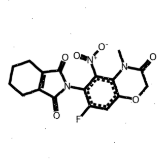 CN1C(=O)COc2cc(F)c(N3C(=O)C4=C(CCCC4)C3=O)c([N+](=O)[O-])c21